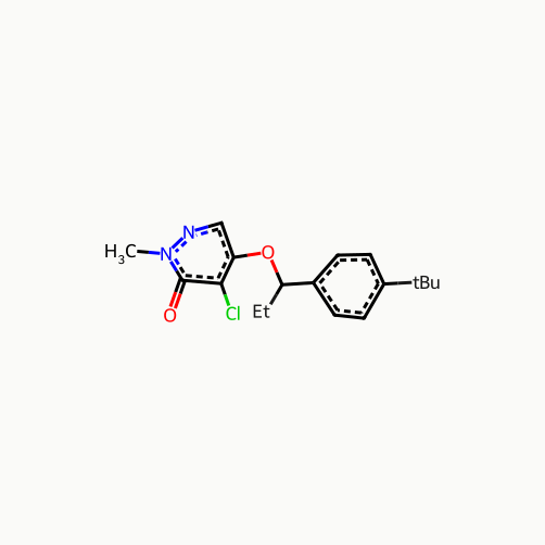 CCC(Oc1cnn(C)c(=O)c1Cl)c1ccc(C(C)(C)C)cc1